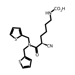 N#C[C@H](CCCCNC(=O)O)C(=O)N(Cc1cccs1)Cc1cccs1